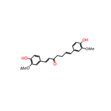 COc1cc(C=CCCC(=O)C=Cc2ccc(O)c(OC)c2)ccc1O